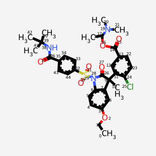 CCOc1ccc2c(c1)C(C)(c1cc(C(=O)OC(C)N(C)C)ccc1Cl)C(=O)N2S(=O)(=O)c1ccc(C(=O)NC(C)(C)C)cc1